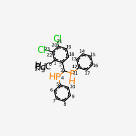 Cc1c(C(Pc2ccccc2)Pc2ccccc2)ccc(Cl)c1Cl.[Pd]